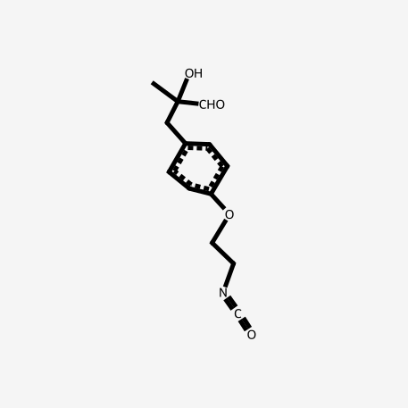 CC(O)(C=O)Cc1ccc(OCCN=C=O)cc1